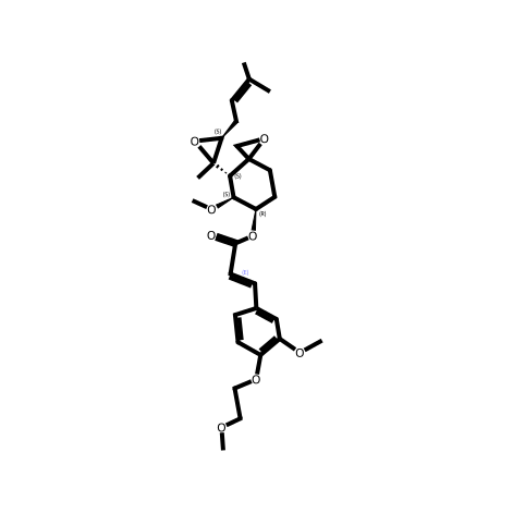 COCCOc1ccc(/C=C/C(=O)O[C@@H]2CCC3(CO3)[C@@H](C3(C)O[C@H]3CC=C(C)C)[C@@H]2OC)cc1OC